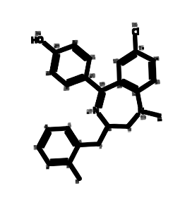 Cc1ccccc1CC1CN(C)c2ccc(Cl)cc2C(c2ccc(O)cc2)=N1